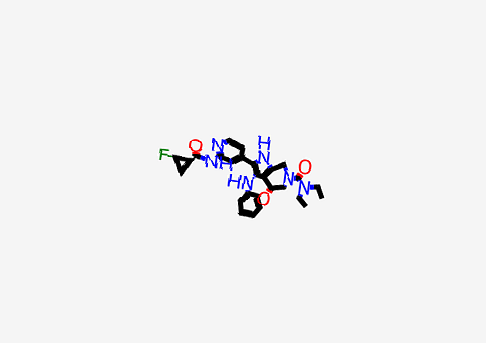 CCN(CC)C(=O)N1CC(=O)c2c([nH]c(-c3ccnc(NC(=O)[C@@H]4C[C@@H]4F)c3)c2Nc2ccccc2)C1